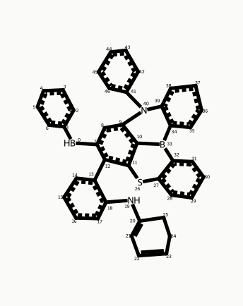 B(c1ccccc1)c1cc2c3c(c1-c1ccccc1NC1=CC=CCC1)Sc1ccccc1B3c1ccccc1N2c1ccccc1